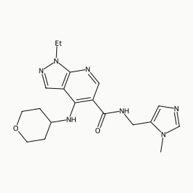 CCn1ncc2c(NC3CCOCC3)c(C(=O)NCc3cncn3C)cnc21